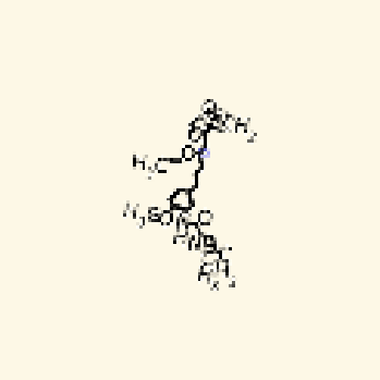 C=CC1=C(/C=C(/CCCc2ccc(OC)c(NC(=O)C(N)CC(C)C)c2)OCCC)OCCS1(=O)=O